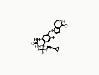 O=C1Nc2cc(Cn3ccc4c3CCNC4=O)c(F)cc2[C@@](C#CC2CC2)(C(F)(F)F)N1